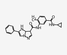 Cc1ccc(C(=O)NC2CC2)cc1NC(=O)C1C=NN2C=C(c3ccccc3)NC12